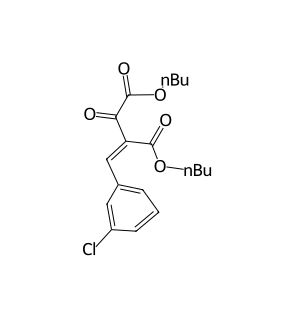 CCCCOC(=O)C(=O)C(=Cc1cccc(Cl)c1)C(=O)OCCCC